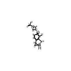 C=C(C)N1CC(Oc2ccc3c(c2C)CBC2CC32)C1